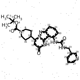 CC(C)(C)OC(=O)N1CCC(c2cc(=O)[nH]c3c4c(NC(=O)NCc5cccnc5)cccc4nn23)CC1